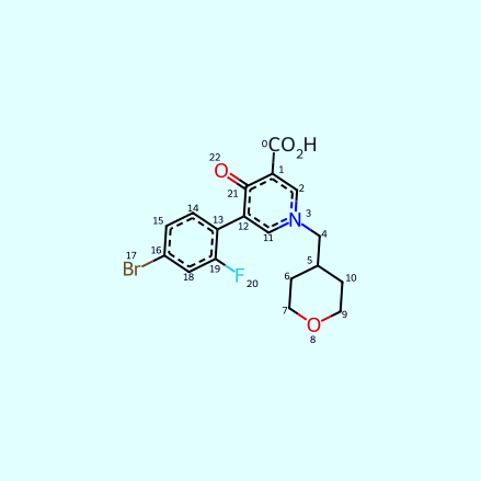 O=C(O)c1cn(CC2CCOCC2)cc(-c2ccc(Br)cc2F)c1=O